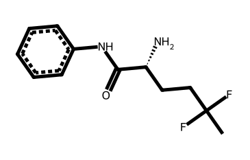 CC(F)(F)CC[C@@H](N)C(=O)Nc1ccccc1